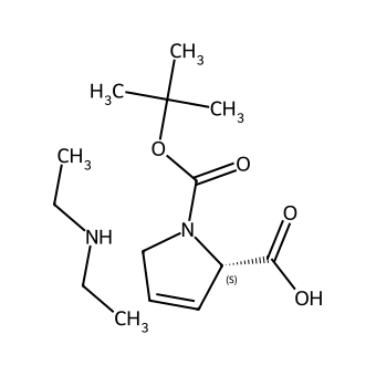 CC(C)(C)OC(=O)N1CC=C[C@H]1C(=O)O.CCNCC